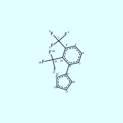 FC(F)(F)c1cccc(-c2cc[c]s2)c1C(F)(F)F